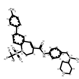 Cc1ccc(-c2ccc3c(c2)C=C(C(=O)Nc2ccc(CN(C)C4CCOCC4)cc2)CCN3S(=O)(=O)C(F)(F)F)cc1